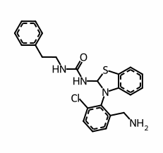 NCc1cccc(Cl)c1N1c2ccccc2SC1NC(=O)NCCc1ccccc1